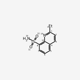 CCc1ccc2cccc(S(N)(=O)=O)c2n1